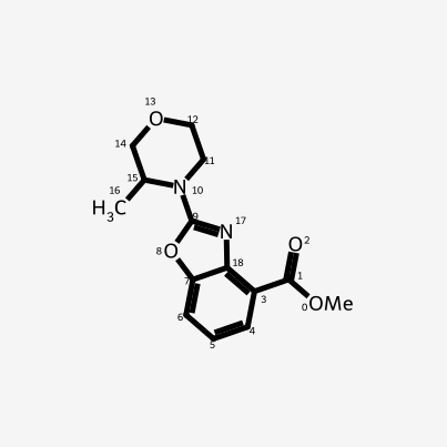 COC(=O)c1cccc2oc(N3CCOCC3C)nc12